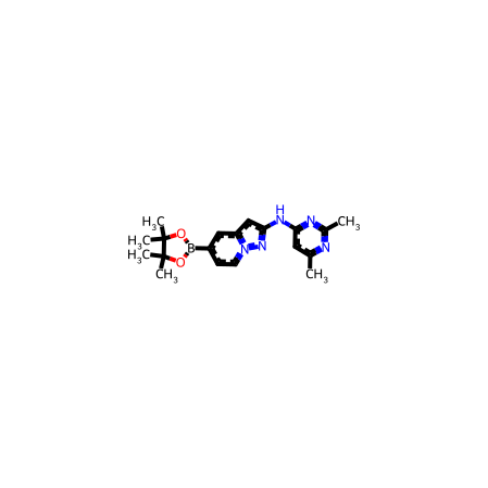 Cc1cc(Nc2cc3cc(B4OC(C)(C)C(C)(C)O4)ccn3n2)nc(C)n1